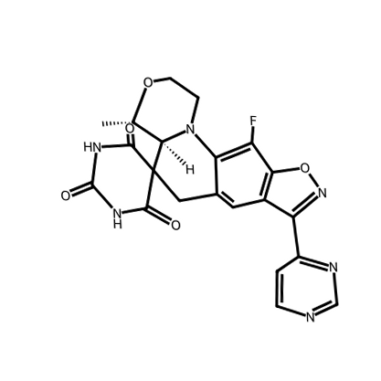 C[C@@H]1OCCN2c3c(cc4c(-c5ccncn5)noc4c3F)CC3(C(=O)NC(=O)NC3=O)[C@@H]12